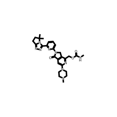 CNC(=O)OCc1nc(N2CCN(C)CC2)cc2c1CN(c1cccc(-c3nnc4n3C(C)(C)CC4)n1)C2=O